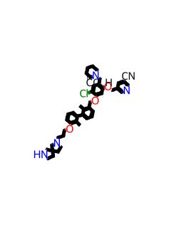 Cc1c(COc2cc(OCc3cncc(C#N)c3)c(CN3CCCC[C@H]3C(=O)O)cc2Cl)cccc1-c1cccc(OCCCN2CCC3(CCNC3)C2)c1C